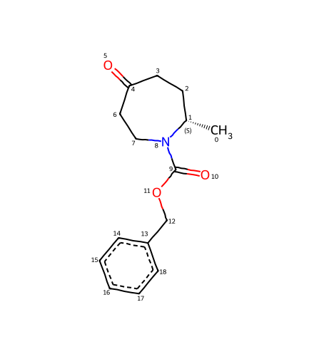 C[C@H]1CCC(=O)CCN1C(=O)OCc1ccccc1